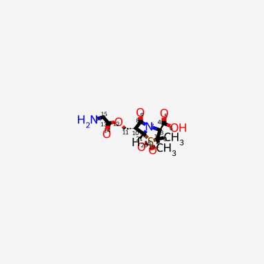 CC1(C)[C@H](C(=O)O)N2C(=O)[C@@H](COC(=O)CN)[C@H]2S1(=O)=O